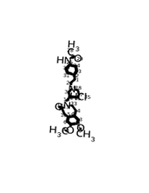 COc1cc2c(cc1OC)CC(=O)N(CC1CCCN(CCc3ccc(NC(C)=O)cc3)C1)CC2.Cl